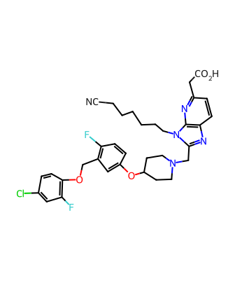 N#CCCCCCCn1c(CN2CCC(Oc3ccc(F)c(COc4ccc(Cl)cc4F)c3)CC2)nc2ccc(CC(=O)O)nc21